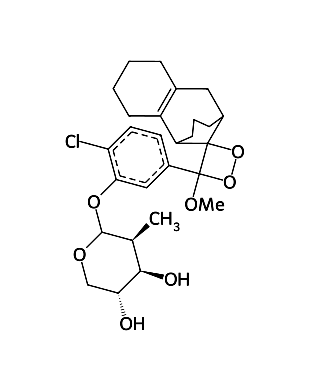 COC1(c2ccc(Cl)c(OC3OC[C@@H](O)[C@H](O)[C@@H]3C)c2)OOC12C1CCCC2C2=C(CCCC2)C1